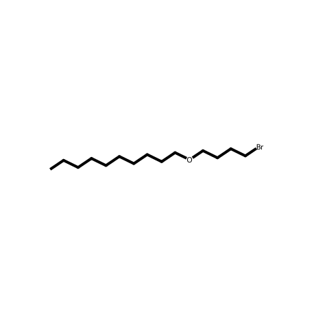 CCCCCCCCCCOCCCCBr